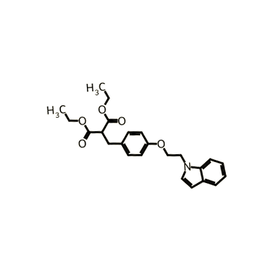 CCOC(=O)C(Cc1ccc(OCCn2ccc3ccccc32)cc1)C(=O)OCC